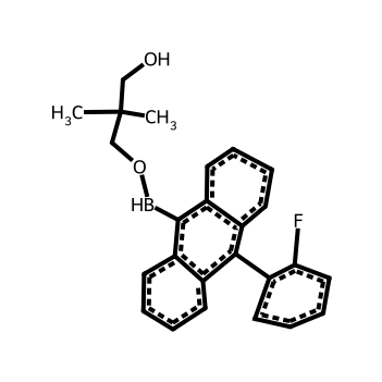 CC(C)(CO)COBc1c2ccccc2c(-c2ccccc2F)c2ccccc12